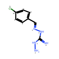 N=C(NN)NN=Cc1ccc(Cl)cc1